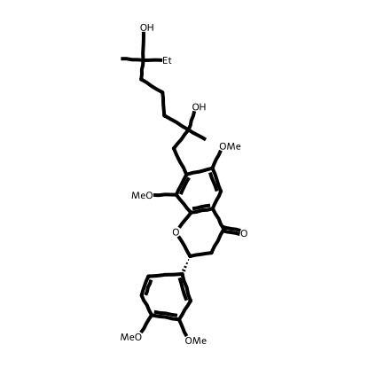 CCC(C)(O)CCCC(C)(O)Cc1c(OC)cc2c(c1OC)O[C@@H](c1ccc(OC)c(OC)c1)CC2=O